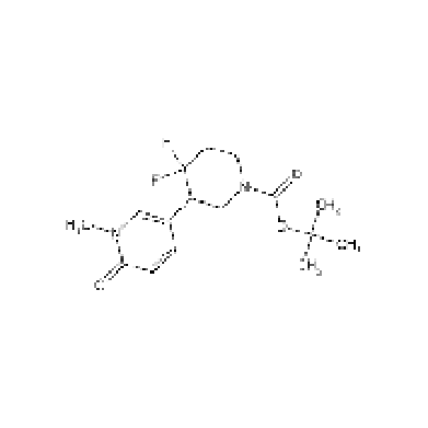 Cn1cc(C2CN(C(=O)OC(C)(C)C)CCC2(F)F)ccc1=O